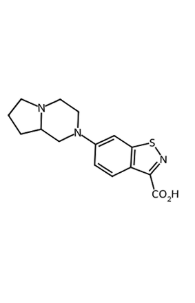 O=C(O)c1nsc2cc(N3CCN4CCCC4C3)ccc12